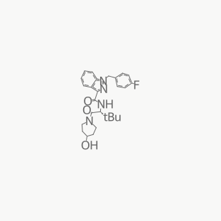 CC(C)(C)[C@H](NC(=O)c1nn(Cc2ccc(F)cc2)c2ccccc12)C(=O)N1CCC(O)CC1